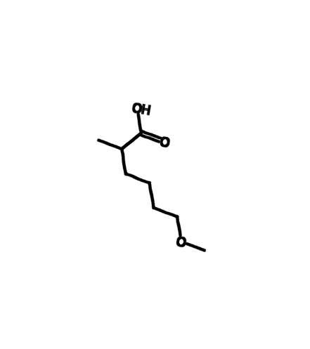 COCCCCC(C)C(=O)O